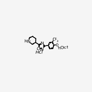 CCCCCCCCOc1ccc(-c2noc(C3CCCNC3)n2)cc1C(F)(F)F.Cl